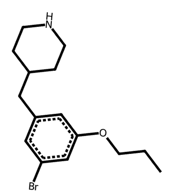 CCCOc1cc(Br)cc(CC2CCNCC2)c1